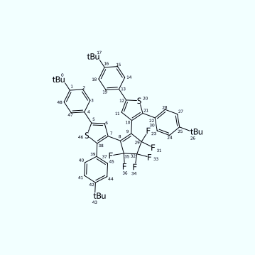 CC(C)(C)c1ccc(-c2cc(C3=C(c4cc(-c5ccc(C(C)(C)C)cc5)sc4-c4ccc(C(C)(C)C)cc4)C(F)(F)C(F)(F)C3(F)F)c(-c3ccc(C(C)(C)C)cc3)s2)cc1